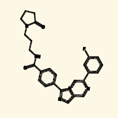 O=C(NCCCN1CCCC1=O)c1ccc(-c2ncc3cnc(-c4cccc(F)c4)cn23)cc1